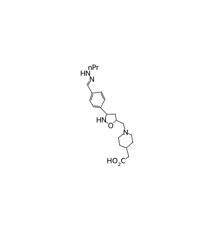 CCCNN=Cc1ccc(C2CC(CN3CCC(CC(=O)O)CC3)ON2)cc1